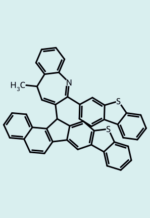 CC1C=C(C2c3cc4sc5ccccc5c4cc3-c3ccc4ccccc4c32)C(c2ccc3c(c2)sc2ccccc23)=Nc2ccccc21